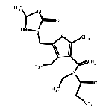 C=C(c1c(C)sc(CN2NC(C)NC2=O)c1CC)N(CC)C(=O)CC